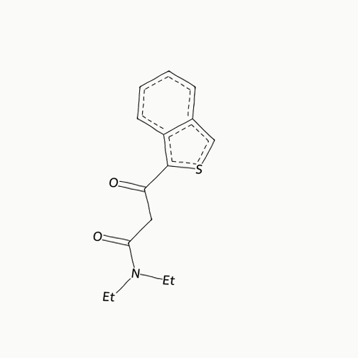 CCN(CC)C(=O)CC(=O)c1scc2ccccc12